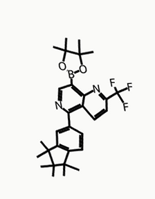 CC1(C)OB(c2cnc(-c3ccc4c(c3)C(C)(C)C(C)(C)C4(C)C)c3ccc(C(F)(F)F)nc23)OC1(C)C